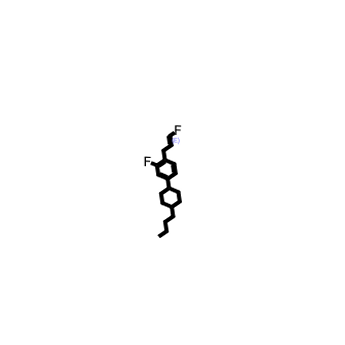 CCCCC1CCC(c2ccc(C/C=C/F)c(F)c2)CC1